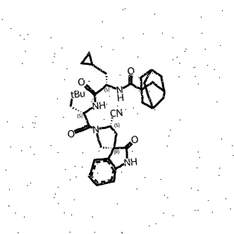 CC(C)(C)C[C@H](NC(=O)[C@H](CC1CC1)NC(=O)C12CC3CC(CC(C3)C1)C2)C(=O)N1C[C@]2(C[C@H]1C#N)C(=O)Nc1ccccc12